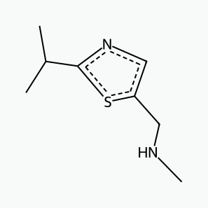 CNCc1cnc(C(C)C)s1